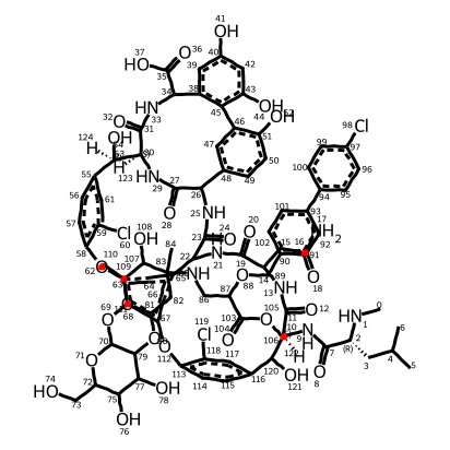 CN[C@H](CC(C)C)C(=O)N[C@@H]1C(=O)NC(CC(N)=O)C(=O)NC2C(=O)NC3C(=O)N[C@H](C(=O)NC(C(=O)O)c4cc(O)cc(O)c4-c4cc3ccc4O)[C@H](O)c3ccc(c(Cl)c3)Oc3cc2cc(c3OC2OC(CO)C(O)C(O)C2OC2CC(C)(NCC(OCc3ccc(-c4ccc(Cl)cc4)cc3)C(=O)OC)C(O)C(C)O2)Oc2ccc(cc2Cl)C1O